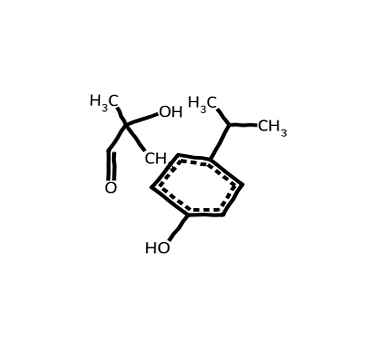 CC(C)(O)C=O.CC(C)c1ccc(O)cc1